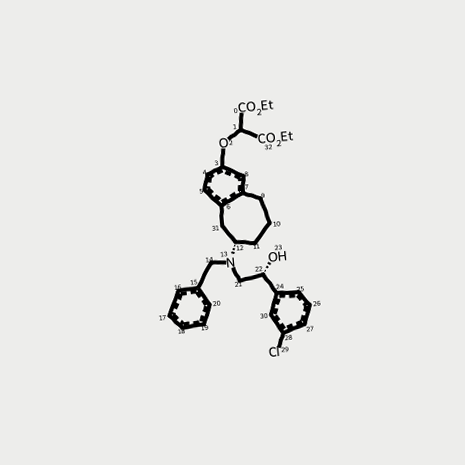 CCOC(=O)C(Oc1ccc2c(c1)CCC[C@H](N(Cc1ccccc1)C[C@H](O)c1cccc(Cl)c1)C2)C(=O)OCC